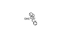 O=CC([S+]([O-])Cc1ccccn1)C12CC3CC(CC(C3)C1)C2